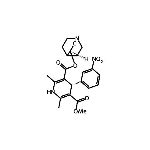 COC(=O)C1=C(C)NC(C)=C(C(=O)O[C@@H]2CN3CCC2CC3)[C@@H]1c1cccc([N+](=O)[O-])c1